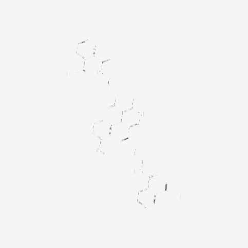 CC1=C(C(=O)OCCNC(=O)c2ccccc2C(=O)O)C(c2cccc([N+](=O)[O-])c2)C(C(=O)OCCNC(=O)c2ccccc2C(=O)O)=C(C)N1